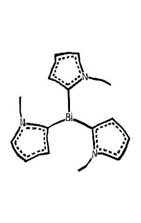 Cn1ccc[c]1[Bi]([c]1cccn1C)[c]1cccn1C